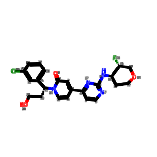 O=c1cc(-c2ccnc(N[C@@H]3CCOC[C@H]3F)n2)ccn1[C@H](CCO)c1cccc(Cl)c1